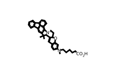 CN(CCCCCC(=O)O)c1ccc2c(c1)OC1CC[N+]3=C(C1=C2)C(C)(C)c1cc2c4c(cccc4c13)-c1ccccc1-2